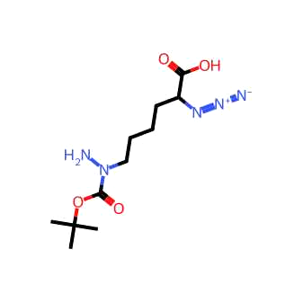 CC(C)(C)OC(=O)N(N)CCCCC(N=[N+]=[N-])C(=O)O